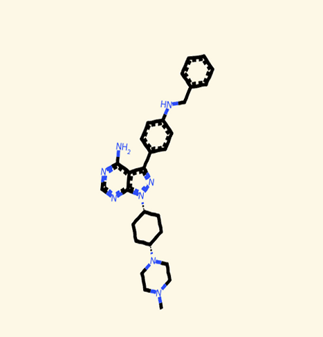 CN1CCN([C@H]2CC[C@@H](n3nc(-c4ccc(NCc5ccccc5)cc4)c4c(N)ncnc43)CC2)CC1